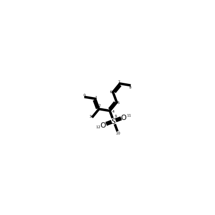 CC=C(C)/C(=C\C=C/C)S(C)(=O)=O